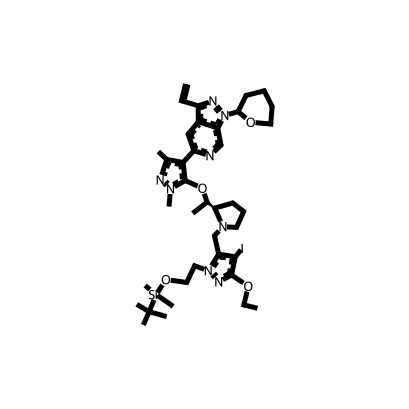 C=Cc1nn(C2CCCCO2)c2cnc(-c3c(C)nn(C)c3OC(C)[C@H]3CCCN3Cc3c(I)c(OCC)nn3CCO[Si](C)(C)C(C)(C)C)cc12